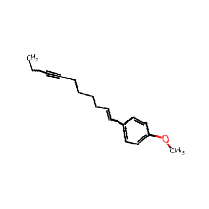 CCC#CCCCCC=Cc1ccc(OC)cc1